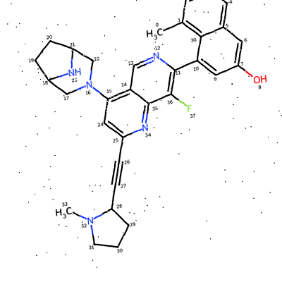 Cc1cccc2cc(O)cc(-c3ncc4c(N5CC6CCC(C5)N6)cc(C#CC5CCCN5C)nc4c3F)c12